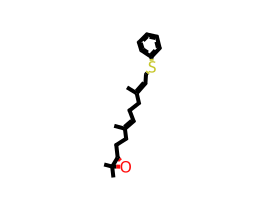 C/C(=C\CSc1ccccc1)CC/C=C(\C)CCC1OC1(C)C